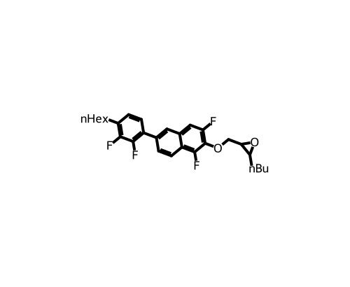 CCCCCCc1ccc(-c2ccc3c(F)c(OCC4OC4CCCC)c(F)cc3c2)c(F)c1F